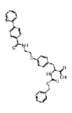 O=C(N[C@@H](Cc1ccc(OCCNC(=O)c2ccc(-c3ccccn3)cc2)cc1)C(=O)O)OCc1ccccc1